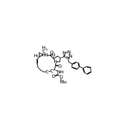 CC(C)(C)OC(=O)N[C@H]1CCCCC/C=C\[C@@H]2C[C@@]2(C)NC(=O)[C@@H]2C[C@@H](c3nnnn3Cc3ccc(-c4ccccc4)cc3)CN2C1=O